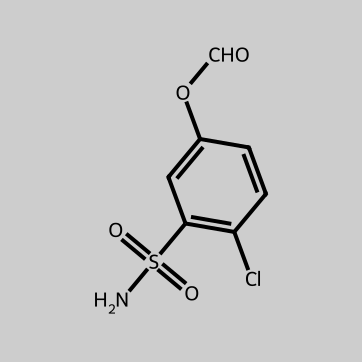 NS(=O)(=O)c1cc(OC=O)ccc1Cl